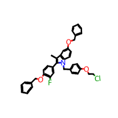 Cc1c(-c2ccc(OCc3ccccc3)c(F)c2)n(Cc2ccc(OCCCl)cc2)c2ccc(OCc3ccccc3)cc12